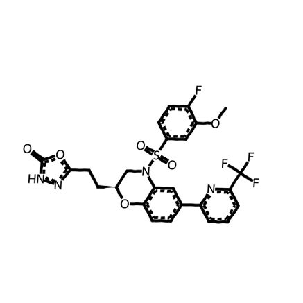 COc1cc(S(=O)(=O)N2C[C@H](CCc3n[nH]c(=O)o3)Oc3ccc(-c4cccc(C(F)(F)F)n4)cc32)ccc1F